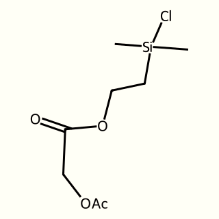 CC(=O)OCC(=O)OCC[Si](C)(C)Cl